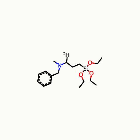 [2H]C(CC[Si](OCC)(OCC)OCC)N(C)Cc1ccccc1